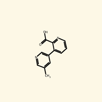 Cc1cncc(-c2cccnc2C(=O)O)c1